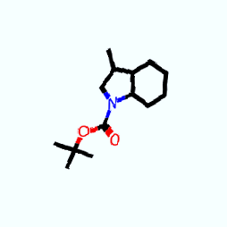 CC1CN(C(=O)OC(C)(C)C)C2CCCCC12